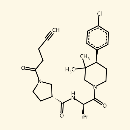 C#CCCC(=O)N1CC[C@@H](C(=O)N[C@@H](C(=O)N2CC[C@H](c3ccc(Cl)cc3)C(C)(C)C2)C(C)C)C1